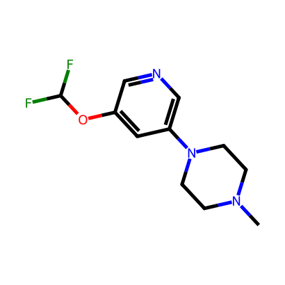 CN1CCN(c2cncc(OC(F)F)c2)CC1